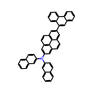 c1ccc2cc(N(c3ccc4ccccc4c3)c3cc4ccc5cc(-c6cc7ccccc7c7ccccc67)cc6ccc(c3)c4c56)ccc2c1